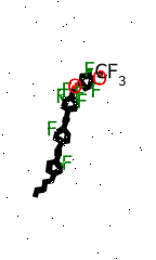 C/C=C/CCc1ccc(C#Cc2ccc(C#Cc3cc(F)c(C(F)(F)Oc4cc(F)c(OC(F)(F)F)c(F)c4)c(F)c3)c(F)c2)c(F)c1